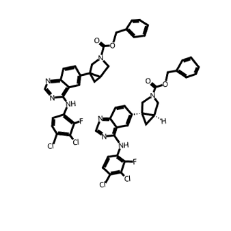 O=C(OCc1ccccc1)N1CC2CC2(c2ccc3ncnc(Nc4ccc(Cl)c(Cl)c4F)c3c2)C1.O=C(OCc1ccccc1)N1C[C@H]2C[C@@]2(c2ccc3ncnc(Nc4ccc(Cl)c(Cl)c4F)c3c2)C1